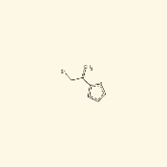 C=C(CBr)c1cccs1